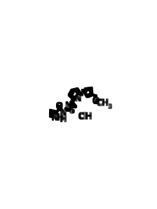 COC[C@@H]1CCN(c2cccc(-c3csc(NC(=O)[C@@H]4CCN4)n3)n2)C1.Cl